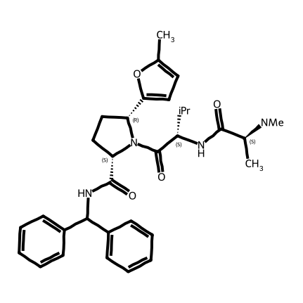 CN[C@@H](C)C(=O)N[C@H](C(=O)N1[C@@H](c2ccc(C)o2)CC[C@H]1C(=O)NC(c1ccccc1)c1ccccc1)C(C)C